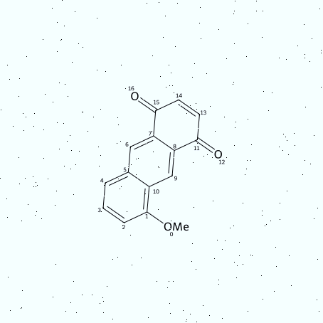 COc1cccc2cc3c(cc12)C(=O)C=CC3=O